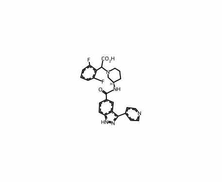 O=C(N[C@@H]1CCCN(C(C(=O)O)c2c(F)cccc2F)C1)c1ccc2[nH]nc(-c3ccncc3)c2c1